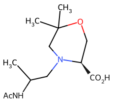 CC(=O)NC(C)CN1CC(C)(C)OC[C@H]1C(=O)O